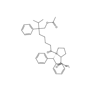 CC(=O)OCC(CCCCC(=O)[N@@+]1(C(c2ccccc2)c2ccccc2)CCCC1C(N)=O)(c1ccccc1)C(C)C